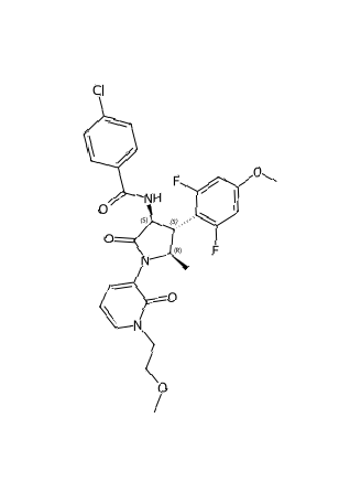 COCCn1cccc(N2C(=O)[C@@H](NC(=O)c3ccc(Cl)cc3)[C@H](c3c(F)cc(OC)cc3F)[C@H]2C)c1=O